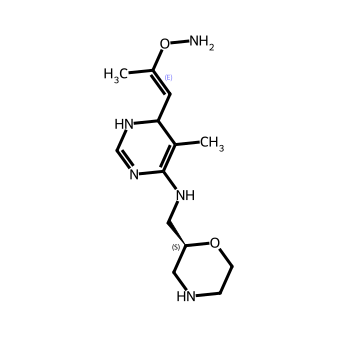 CC1=C(NC[C@@H]2CNCCO2)N=CNC1/C=C(\C)ON